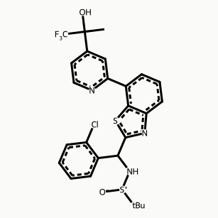 CC(C)(C)[S+]([O-])NC(c1nc2cccc(-c3cc(C(C)(O)C(F)(F)F)ccn3)c2s1)c1ccccc1Cl